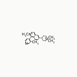 Cc1cnccc1-c1c2ccc(C3CC[Si](C)(C)CC3)cc2cc[n+]1C